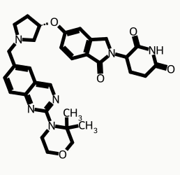 CC1(C)COCCN1c1ncc2cc(CN3CC[C@H](Oc4ccc5c(c4)CN(C4CCC(=O)NC4=O)C5=O)C3)ccc2n1